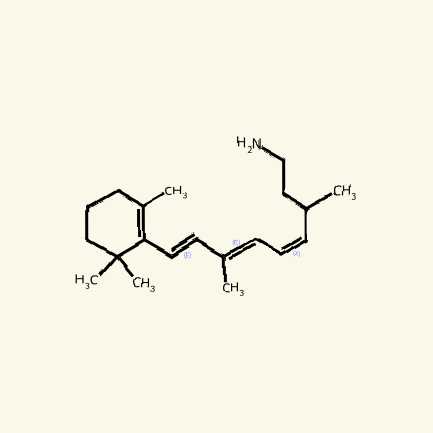 CC1=C(/C=C/C(C)=C/C=C\C(C)CCN)C(C)(C)CCC1